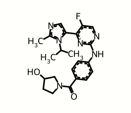 Cc1ncc(-c2nc(Nc3ccc(C(=O)N4CCC(O)C4)cc3)ncc2F)n1C(C)C